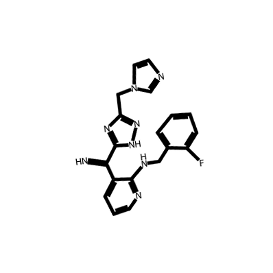 N=C(c1nc(Cn2ccnc2)n[nH]1)c1cccnc1NCc1ccccc1F